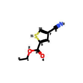 CCOC(=O)c1cc(C#N)cs1